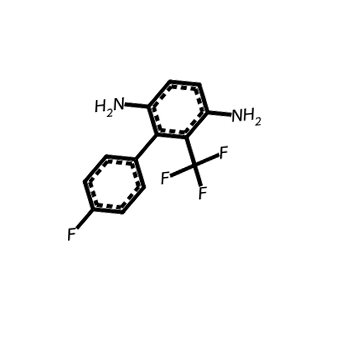 Nc1ccc(N)c(C(F)(F)F)c1-c1ccc(F)cc1